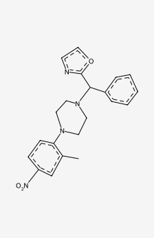 Cc1cc([N+](=O)[O-])ccc1N1CCN(C(c2ccccc2)c2ncco2)CC1